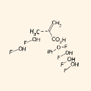 C=C(C)C(=O)O.CC(C)OF.OF.OF.OF.OF.OF